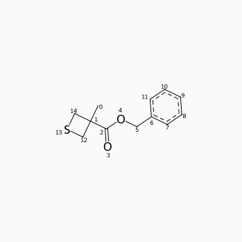 CC1(C(=O)OCc2ccccc2)CSC1